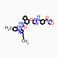 CCCCc1cc(NC(=O)Nc2ccc(Oc3ccnc(Nc4cccc(C(=O)N5CCOCC5)c4)n3)c3ccccc23)n(-c2ccc(C)cc2)n1